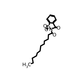 CCCCCCCCCCCC(=O)N1C(=O)c2ccccc2S1(=O)=O